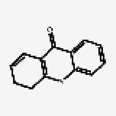 O=c1c2c(sc3ccccc13)CCC=C2